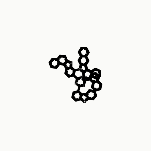 c1ccc2cc3c(cc2c1)c1c2ccccc2ccc1n3-c1c(-c2nc(-c3cccc4ccccc34)nc(-c3cccc4oc5ccccc5c34)n2)ccc2c1sc1ccc3ccccc3c12